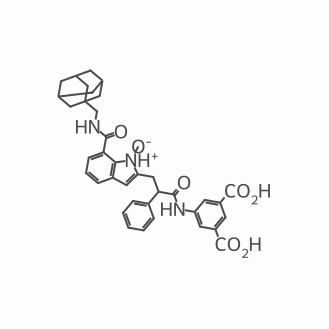 O=C(O)c1cc(NC(=O)C(CC2=Cc3cccc(C(=O)NCC45CC6CC(CC(C6)C4)C5)c3[NH+]2[O-])c2ccccc2)cc(C(=O)O)c1